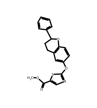 COC(=O)c1cnc(Oc2ccc3c(c2)CCC(c2ccccc2)O3)s1